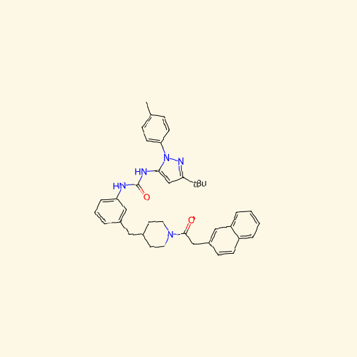 Cc1ccc(-n2nc(C(C)(C)C)cc2NC(=O)Nc2cccc(CC3CCN(C(=O)Cc4ccc5ccccc5c4)CC3)c2)cc1